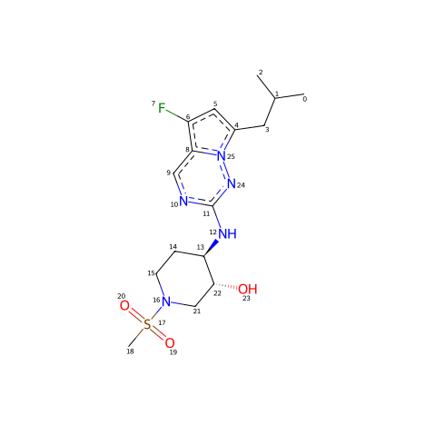 CC(C)Cc1cc(F)c2cnc(N[C@@H]3CCN(S(C)(=O)=O)C[C@H]3O)nn12